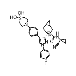 N#CC1(NC(=O)[C@@H]2CC3CC3C[C@H]2c2nn(-c3ccc(F)cc3)cc2-c2ccc(N3CCS(O)(O)CC3)cc2)CC1